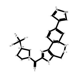 O=C(c1nc2c(s1)CCOc1cc(-c3cn[nH]c3)ccc1-2)N1CC[C@@H](C(F)(F)F)C1